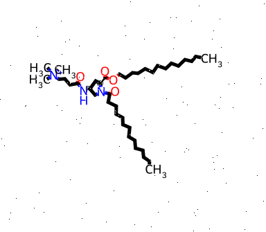 CCCCCCCCCCCCCCOC(=O)[C@@H]1C[C@@H](NC(=O)CCC[N+](C)(C)C)CN1C(=O)CCCCCCCCCCCCC